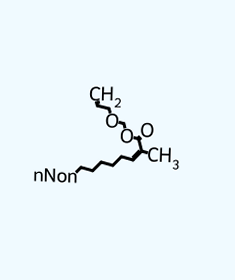 C=CCOCOC(=O)C(C)=CCCCCCCCCCCCCCC